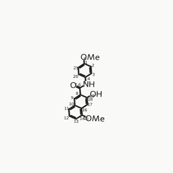 COc1ccc(NC(=O)c2cc3cccc(OC)c3cc2O)cc1